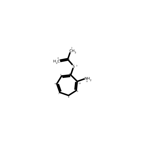 C=C(C)SC1=CC=CCC=C1N